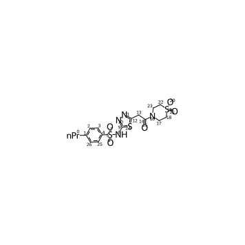 CCCc1ccc(S(=O)(=O)Nc2nnc(CC(=O)N3CCS(=O)(=O)CC3)s2)cc1